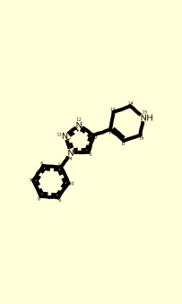 C1=C(c2cn(-c3ccccc3)nn2)CCNC1